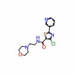 O=C(NCCN1CCOCC1)c1sc(-c2cccnc2)nc1Cl